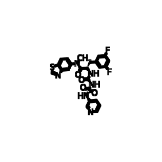 CN(C(=O)[C@H](Cc1cc(F)cc(F)c1)NC(=O)NS(=O)(=O)Nc1cccnc1)c1ccc2scnc2c1